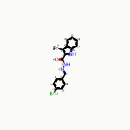 CC(C)c1c(C(=O)NN=Cc2ccc(Br)cc2)[nH]c2ccccc12